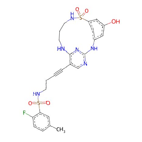 Cc1ccc(F)c(S(=O)(=O)NCCC#Cc2cnc3nc2NCCCNS(=O)(=O)c2cc(O)cc(c2)N3)c1